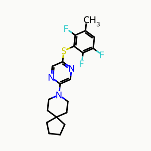 Cc1cc(F)c(F)c(Sc2cnc(N3CCC4(CCCC4)CC3)cn2)c1F